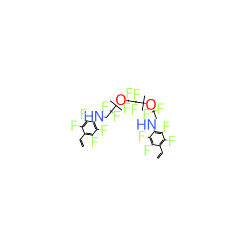 C=Cc1c(F)c(F)c(NCC(F)(F)OC(C)(C)C(F)(F)C(F)(F)OC(C)(C)C(F)(F)CNc2c(F)c(F)c(C=C)c(F)c2F)c(F)c1F